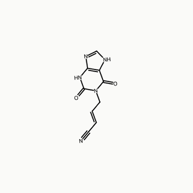 N#C/C=C/Cn1c(=O)[nH]c2nc[nH]c2c1=O